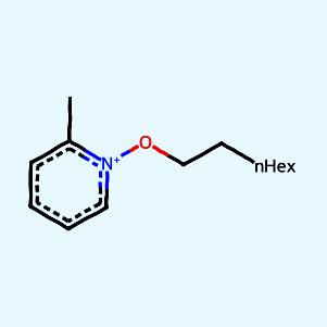 CCCCCCCCO[n+]1ccccc1C